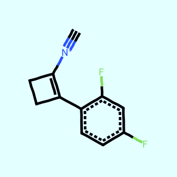 C#[N+]C1=C(c2ccc(F)cc2F)CC1